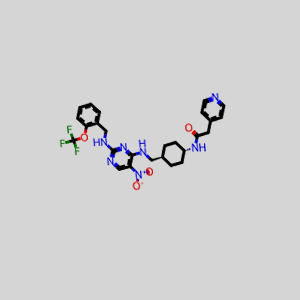 O=C(Cc1ccncc1)N[C@H]1CC[C@H](CNc2nc(NCc3ccccc3OC(F)(F)F)ncc2[N+](=O)[O-])CC1